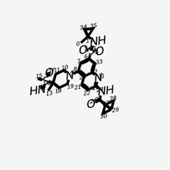 CC1(NS(=O)(=O)c2cc(N3CCC(C)(S(C)(=N)=O)CC3)c3ccc(NC(=O)C45CC4C5)nc3c2)CC1